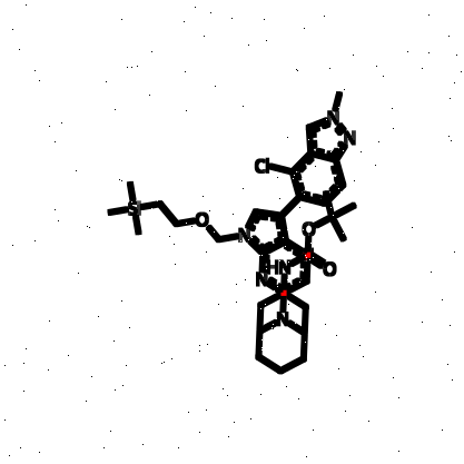 Cn1cc2c(Cl)c(-c3cn(COCC[Si](C)(C)C)c4nc(N5C6CCCC5CC(NC(=O)OC(C)(C)C)C6)cnc34)ccc2n1